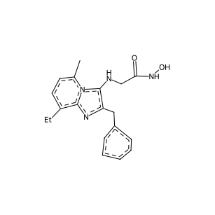 CCc1ccc(C)n2c(NCC(=O)NO)c(Cc3ccccc3)nc12